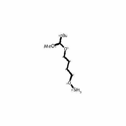 CCCCC(OC)OCCCCO[SiH3]